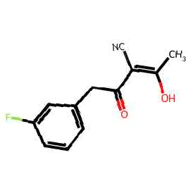 C/C(O)=C(\C#N)C(=O)Cc1cccc(F)c1